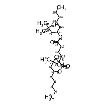 CCCCCC(CC(C)(C)C)OC(=O)CCCCC(=O)OC(CCCCC)CC(C)(C)C